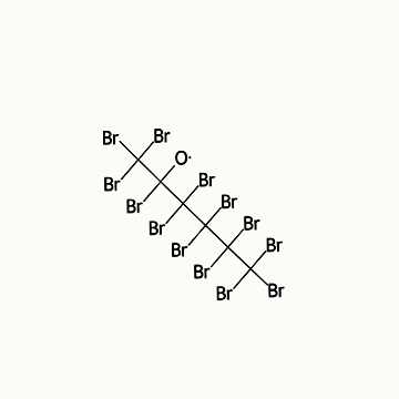 [O]C(Br)(C(Br)(Br)Br)C(Br)(Br)C(Br)(Br)C(Br)(Br)C(Br)(Br)Br